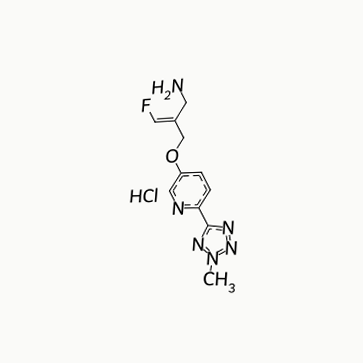 Cl.Cn1nnc(-c2ccc(OCC(=CF)CN)cn2)n1